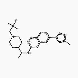 CC(Nc1cc2cc(-c3cnn(C)c3)ccc2cn1)C1CCN(CC(C)(C)F)CC1